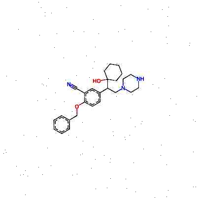 N#Cc1cc(C(CN2CCNCC2)C2(O)CCCCC2)ccc1OCc1ccccc1